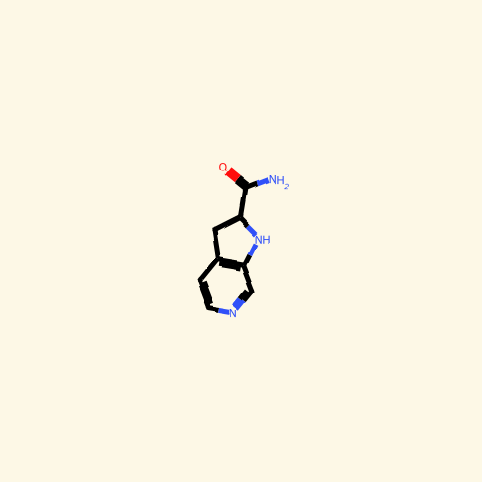 NC(=O)C1Cc2ccncc2N1